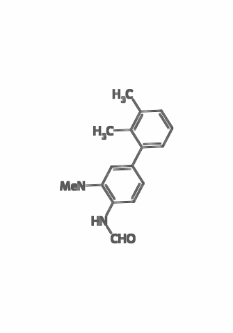 CNc1cc(-c2cccc(C)c2C)ccc1NC=O